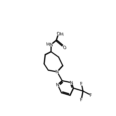 O=C(O)NC1CCCN(c2nccc(C(F)(F)F)n2)CC1